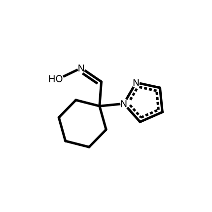 O/N=C\C1(n2cccn2)CCCCC1